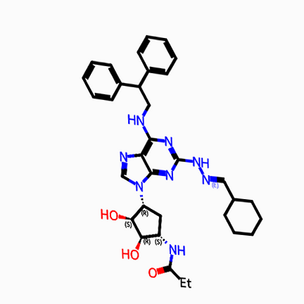 CCC(=O)N[C@H]1C[C@@H](n2cnc3c(NCC(c4ccccc4)c4ccccc4)nc(N/N=C/C4CCCCC4)nc32)[C@H](O)[C@@H]1O